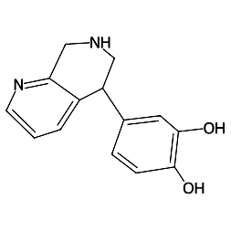 Oc1ccc(C2CNCc3ncccc32)cc1O